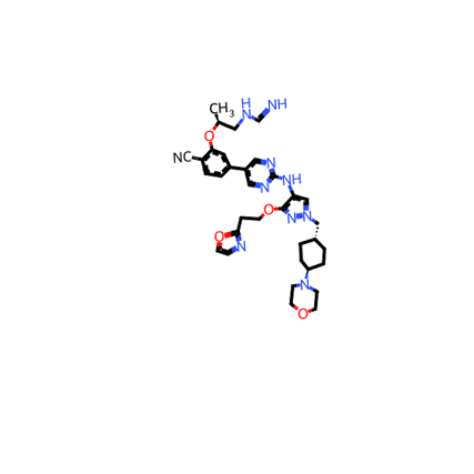 C[C@@H](CNC=N)Oc1cc(-c2cnc(Nc3cn(C[C@H]4CC[C@H](N5CCOCC5)CC4)nc3OCCc3ncco3)nc2)ccc1C#N